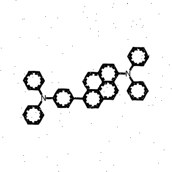 c1ccc(N(c2ccccc2)c2ccc(-c3ccc4ccc5c(N(c6ccccc6)c6ccccc6)ccc6ccc3c4c65)cc2)cc1